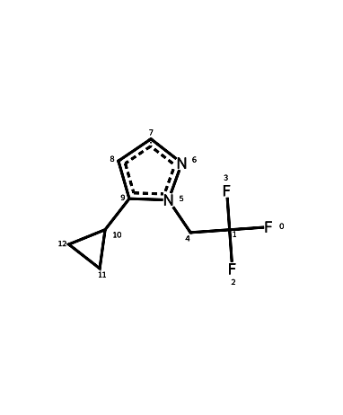 FC(F)(F)Cn1n[c]cc1C1CC1